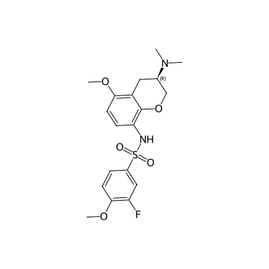 COc1ccc(S(=O)(=O)Nc2ccc(OC)c3c2OC[C@H](N(C)C)C3)cc1F